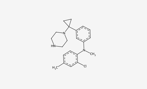 Cc1ccc(N(C)c2cccc(C3(N4CCNCC4)CC3)c2)c(Cl)c1